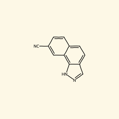 N#Cc1ccc2ccc3cn[nH]c3c2c1